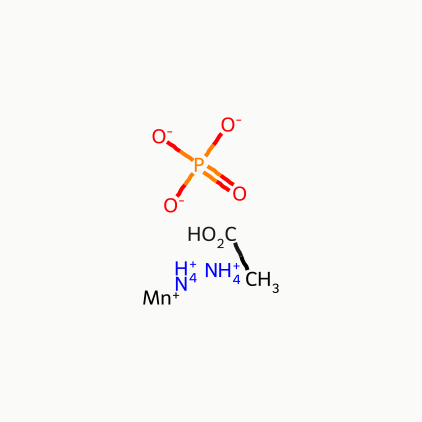 CC(=O)O.O=P([O-])([O-])[O-].[Mn+].[NH4+].[NH4+]